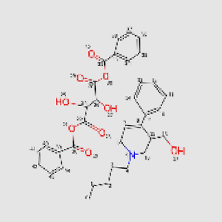 CCCCCN1CC=C(c2ccccc2)C(CO)C1.O=C(OC(=O)C(O)C(O)C(=O)OC(=O)c1ccccc1)c1ccccc1